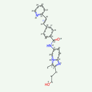 Cc1c(CCCO)nc2ccc(NC(=O)c3ccc(/C=C/c4ccccn4)cc3)cn12